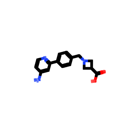 Nc1ccnc(-c2ccc(CN3CC(C(=O)O)C3)cc2)c1